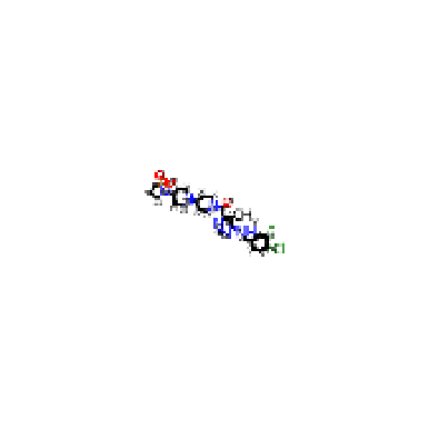 Cc1c(NCc2ccc(Cl)c(Cl)c2)ncnc1C(=O)N1CCC(N2CCC(N3CCCS3(=O)=O)CC2)CC1